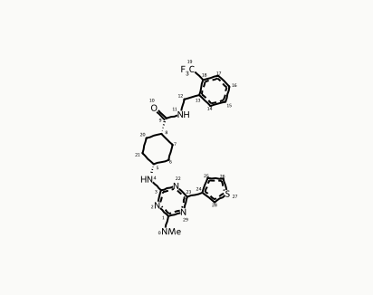 CNc1nc(N[C@H]2CC[C@@H](C(=O)NCc3ccccc3C(F)(F)F)CC2)nc(-c2ccsc2)n1